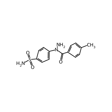 Cc1ccc(C(=O)N(N)c2ccc(S(N)(=O)=O)cc2)cc1